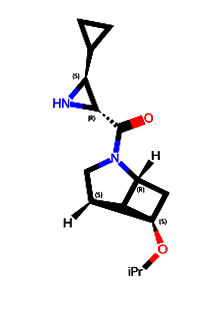 CC(C)O[C@]12C[C@@H]3C1[C@H]2CN3C(=O)[C@@H]1N[C@H]1C1CC1